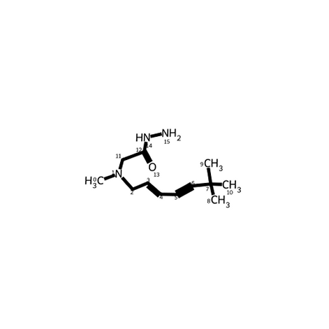 CN(CC=CC#CC(C)(C)C)CC(=O)NN